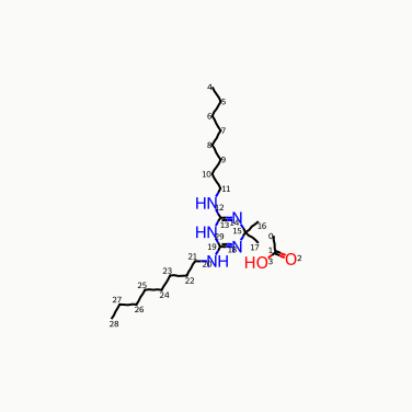 CC(=O)O.CCCCCCCCNC1=NC(C)(C)N=C(NCCCCCCCC)N1